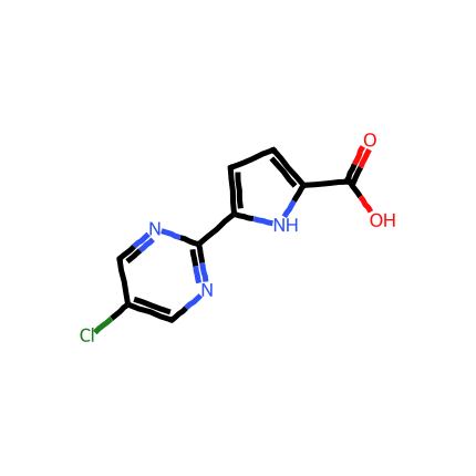 O=C(O)c1ccc(-c2ncc(Cl)cn2)[nH]1